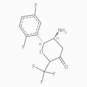 N[C@H]1CC(=O)C(C(F)(F)F)O[C@@H]1c1cc(F)ccc1F